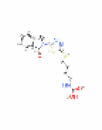 O=C(O)NCCCCSc1nnc(-n2[se]c3ccccc3c2=O)s1